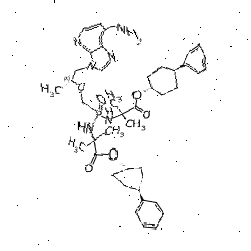 C[C@H](Cn1cnc2c(N)ccnc21)OCP(=O)(NC(C)(C)C(=O)O[C@H]1CC[C@H](c2ccccc2)CC1)NC(C)(C)C(=O)O[C@H]1CC[C@H](c2ccccc2)CC1